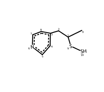 CC(Cc1ccncc1)SS